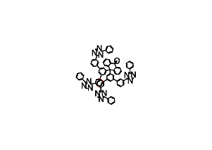 O=C1c2ccccc2C(c2cc(-c3cccc(-c4ncnc(-c5ccccc5)n4)c3)cc(-c3cccc(-c4ncnc(-c5ccccc5)n4)c3)c2)(c2cc(-c3cccc(-c4ncnc(-c5ccccc5)n4)c3)cc(-c3cccc(-c4ncnc(-c5ccccc5)n4)c3)c2)c2ccccc21